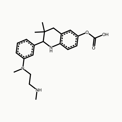 CNCCN(C)c1cccc(C2Nc3ccc(OC(=O)O)cc3CC2(C)C)c1